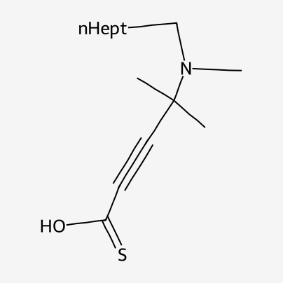 CCCCCCCCN(C)C(C)(C)C#CC(O)=S